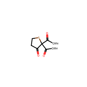 COC(=O)C1(C(=O)OC)SCCC1=O